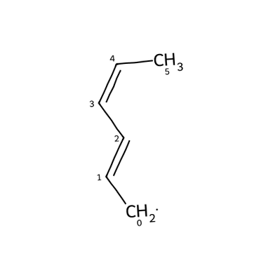 [CH2]/C=C/C=C\C